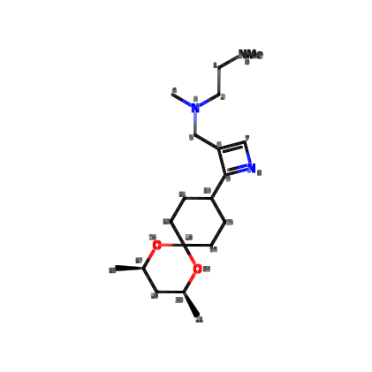 CNCCN(C)CC1=CN=C1C1CCC2(CC1)O[C@H](C)C[C@H](C)O2